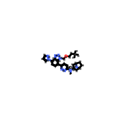 CN(c1ccc(-c2ccc(-n3cccn3)c3nnn(COCC[Si](C)(C)C)c23)nn1)C1CC2CCC(C1)N2C(=O)O